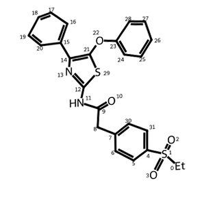 CCS(=O)(=O)c1ccc(CC(=O)Nc2nc(-c3ccccc3)c(Oc3ccccc3)s2)cc1